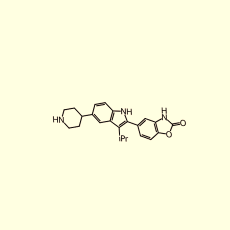 CC(C)c1c(-c2ccc3oc(=O)[nH]c3c2)[nH]c2ccc(C3CCNCC3)cc12